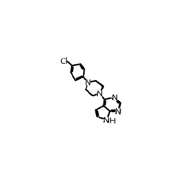 Clc1ccc(N2CCN(c3ncnc4[nH]ccc34)CC2)cc1